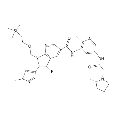 Cc1ncc(NC(=O)CN2CCC[C@@H]2C)cc1NC(=O)c1cnc2c(c1)c(F)c(-c1cnn(C)c1)n2COCC[Si](C)(C)C